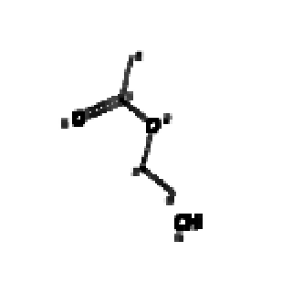 CCOC(C)=O.[CH]